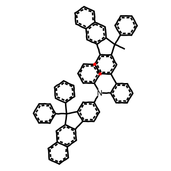 CC1(c2ccccc2)c2cc(-c3ccccc3N(c3ccccc3)c3ccc4c(c3)C(c3ccccc3)(c3ccccc3)c3cc5ccccc5cc3-4)ccc2-c2cc3ccccc3cc21